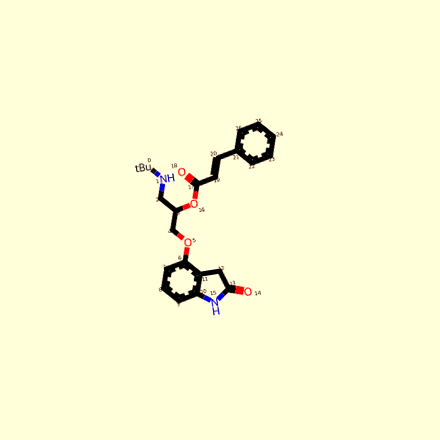 CC(C)(C)NCC(COc1cccc2c1CC(=O)N2)OC(=O)/C=C/c1ccccc1